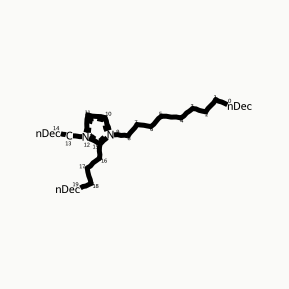 CCCCCCCCCCCCCCCCCCn1cc[n+](CCCCCCCCCCC)c1CCCCCCCCCCCCC